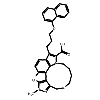 Cc1c2c(nn1C)COCCCCn1c(C(=O)O)c(CCCOc3cccc4ccccc34)c3ccc(Cl)c-2c31